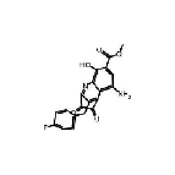 COC(=O)c1cc(N)c2c3c(Cc4ccc(F)cc4)c(nc2c1O)C(=O)C3=O